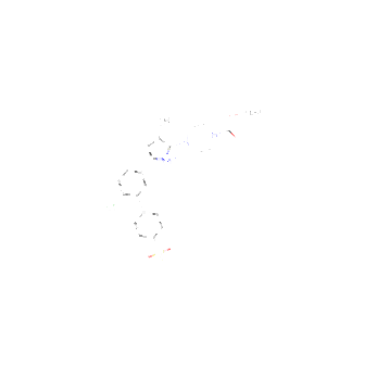 CC(C)(C)OC(=O)N1CCN(c2[nH]c(-c3ccc(Cl)c(-c4ccc(S(C)(=O)=O)cc4)c3)cc2C#N)CC1